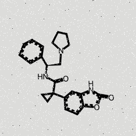 O=C(N[C@H](CN1CCCC1)c1ccccc1)C1(c2ccc3oc(=O)[nH]c3c2)CC1